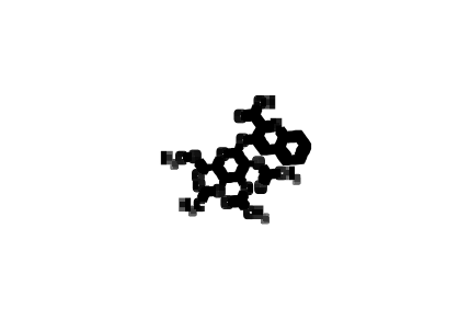 COC(=O)[C@H]1O[C@@H](Oc2cc3ccccc3nc2C(=O)O)[C@H](OC(C)=O)[C@@H](OC(C)=O)[C@@H]1OC(C)=O